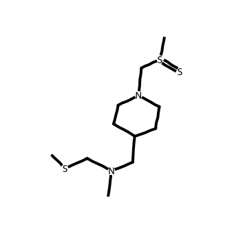 CSCN(C)CC1CCN(CS(C)=S)CC1